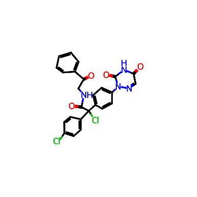 O=C(CNC(=O)C(Cl)(c1ccc(Cl)cc1)c1ccc(-n2ncc(=O)[nH]c2=O)cc1)c1ccccc1